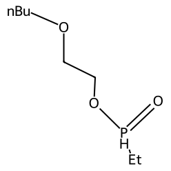 CCCCOCCO[PH](=O)CC